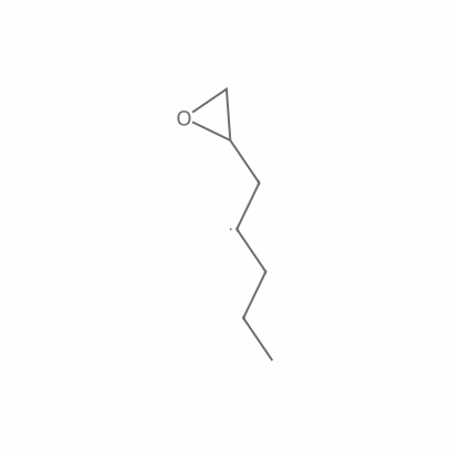 CCC[CH]CC1CO1